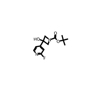 CC(C)(C)OC(=O)N1CC(O)(c2ccnc(F)c2)C1